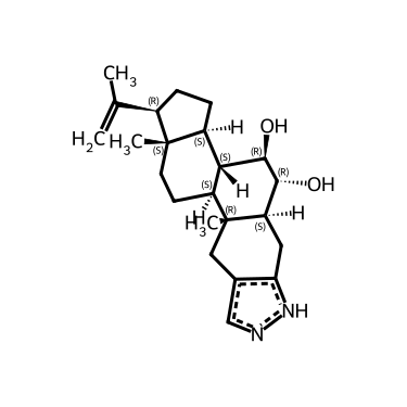 C=C(C)[C@H]1CC[C@H]2[C@@H]3[C@@H](O)[C@H](O)[C@H]4Cc5[nH]ncc5C[C@]4(C)[C@H]3CC[C@]12C